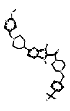 COc1ccc(CN2CCC(c3ccc4c(c3)c(C)c(C(=O)N3CCN(Cc5ccc(C(F)(F)F)cc5)CC3)n4C)CC2)cn1